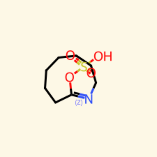 O=S(=O)(O)O/C1=N\CCCCCCC1